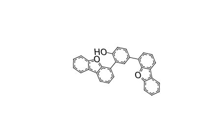 Oc1ccc(-c2cccc3c2oc2ccccc23)cc1-c1cccc2c1oc1ccccc12